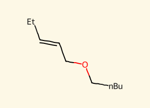 [CH2]CCCCOCC=CCC